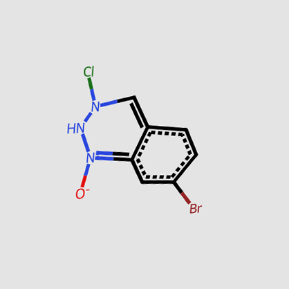 [O-][N+]1=c2cc(Br)ccc2=CN(Cl)N1